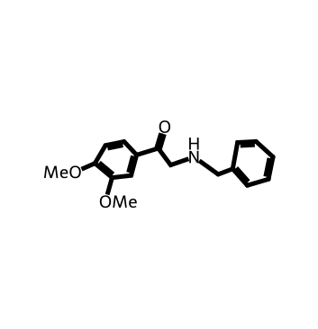 COc1ccc(C(=O)CNCc2ccccc2)cc1OC